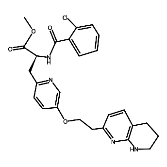 COC(=O)[C@H](Cc1ccc(OCCc2ccc3c(n2)NCCC3)cn1)NC(=O)c1ccccc1Cl